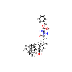 CC[C@H]1[C@@H](O)[C@@H]2[C@H](CC[C@]3(C)[C@@H]([C@H](C)CCC(=O)NNC(=O)OCc4ccccc4)CC[C@@H]23)[C@@]2(C)CC[C@@H](C)C[C@@H]12